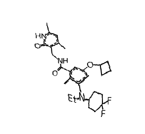 CCN(c1cc(OC2CCC2)cc(C(=O)NCc2c(C)cc(C)[nH]c2=O)c1C)C1CCC(F)(F)CC1